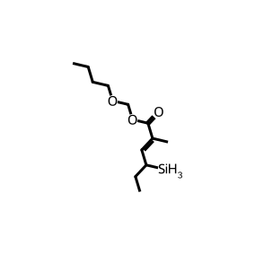 CCCCOCOC(=O)C(C)=CC([SiH3])CC